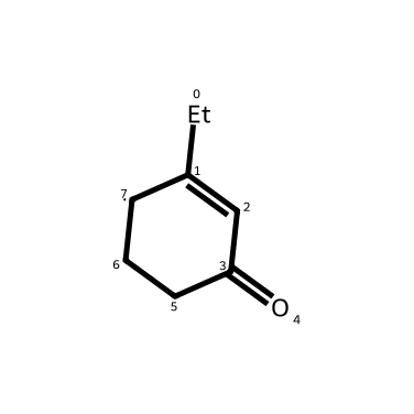 CCC1=CC(=O)CC[CH]1